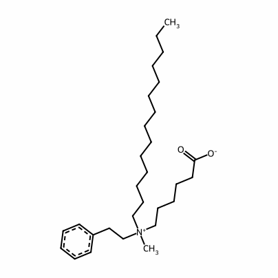 CCCCCCCCCCCCCC[N+](C)(CCCCCC(=O)[O-])CCc1ccccc1